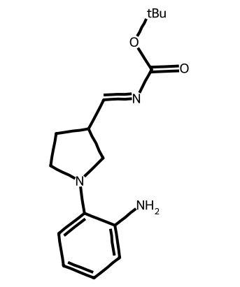 CC(C)(C)OC(=O)N=CC1CCN(c2ccccc2N)C1